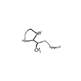 CCCCCCC(C)C1NCCN1